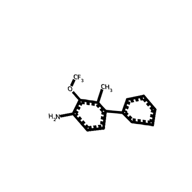 Cc1c(-c2ccccc2)ccc(N)c1OC(F)(F)F